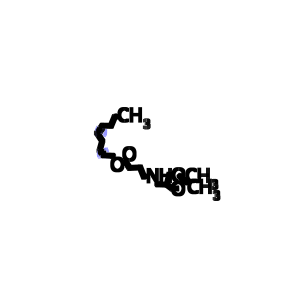 CCC/C=C\C/C=C\COC(=O)CCCNCC1COC(C)(C)OC1